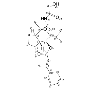 C/C(=C\C(=O)O[C@H]1[C@@H]2[C@H](C)CC[C@H]2C2(C)O[C@@]1(C(C)C)C[C@H]2NC(=O)CO)c1ccccc1